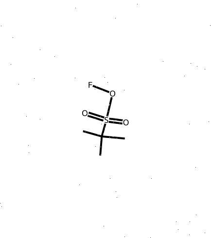 CC(C)(C)S(=O)(=O)OF